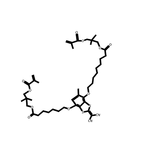 C=C(C)C(=O)OCC(C)(C)COC(=O)CCCCCCCCOc1c(C)cc(OCCCCCCC(=O)OCC(C)(C)COC(=O)C(=C)C)c2c1SC(=C(C#N)C#N)S2